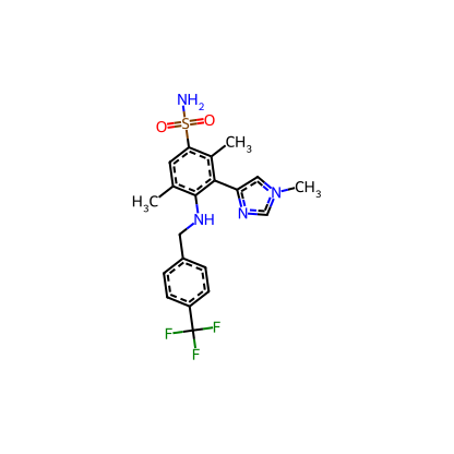 Cc1cc(S(N)(=O)=O)c(C)c(-c2cn(C)cn2)c1NCc1ccc(C(F)(F)F)cc1